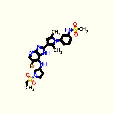 CCS(=O)(=O)N1CCC(Nc2c(Br)cnc3nc(-c4cc(C)n(-c5cccc(NS(C)(=O)=O)c5)c4C)[nH]c23)C1